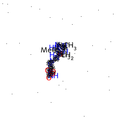 C=CC(=O)Nc1cc(Nc2nccc(-c3cn(C)c4ccccc34)n2)c(OC)cc1N(C)CCN1CCC(CN[C@@H]2CCCN(c3ccc4c(c3)C(=O)N(C3CCC(=O)NC3=O)C4=O)C2)CC1